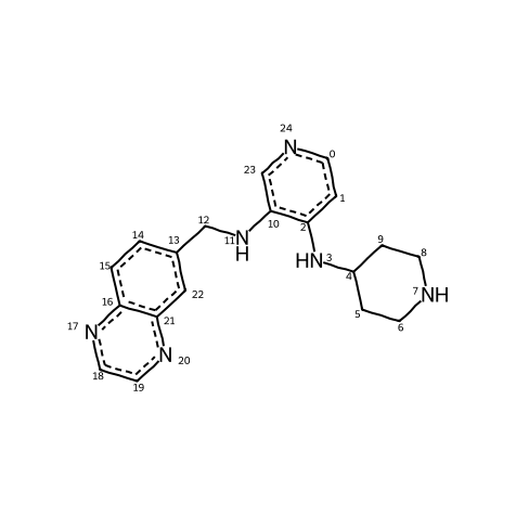 c1cc(NC2CCNCC2)c(NCc2ccc3nccnc3c2)cn1